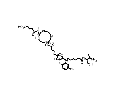 C[C@]1(NC(=O)CCCC(=O)O)CNCCNC[C@@](C)(NC(=O)CCCC(=O)N[C@@H](Cc2ccc(O)cc2)C(=O)NCCCCCC(=O)NC(CS)C(N)=O)NCCN1